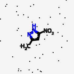 [CH2]c1cc([N+](=O)[O-])[nH]n1